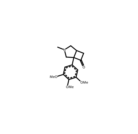 COc1cc(C23CN(C)CC2CC3=O)cc(OC)c1OC